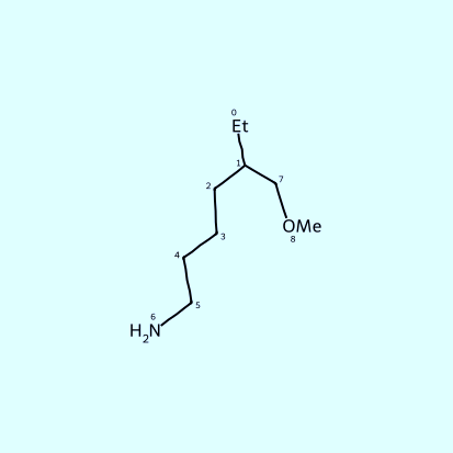 CCC(CCCCN)COC